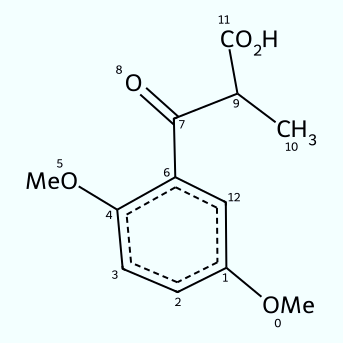 COc1ccc(OC)c(C(=O)C(C)C(=O)O)c1